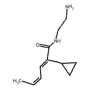 C/C=C\C=C(\C(=O)NCCN)C1CC1